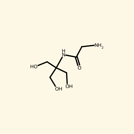 NCC(=O)NC(CO)(CO)CO